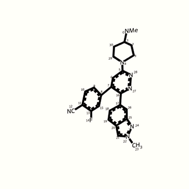 CNC1CCN(c2cc(-c3ccc(C#N)c(F)c3)c(-c3ccc4cn(C)nc4c3)nn2)CC1